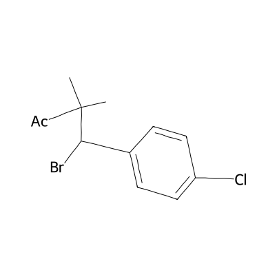 CC(=O)C(C)(C)C(Br)c1ccc(Cl)cc1